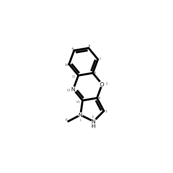 CN1NC=C2Oc3ccccc3N=C21